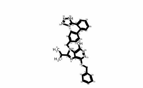 CC(C)c1nc2c(SCc3ccccc3)nnc(O)c2n1Cc1ccc(-c2ccccc2-c2nnn[nH]2)cc1